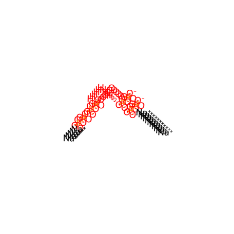 O.O.O.O.O.O.O.O.O.O.O=P([O-])([O-])OP(=O)([O-])[O-].O=P([O-])([O-])OP(=O)([O-])[O-].O=P([O-])([O-])OP(=O)([O-])[O-].O=P([O-])([O-])OP(=O)([O-])[O-].[Na+].[Na+].[Na+].[Na+].[Na+].[Na+].[Na+].[Na+].[Na+].[Na+].[Na+].[Na+].[Na+].[Na+].[Na+].[Na+]